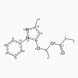 CCC(=O)OC(C)Oc1cc(C)nn1-c1ccccc1